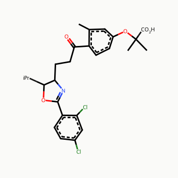 Cc1cc(OC(C)(C)C(=O)O)ccc1C(=O)CCC1N=C(c2ccc(Cl)cc2Cl)OC1C(C)C